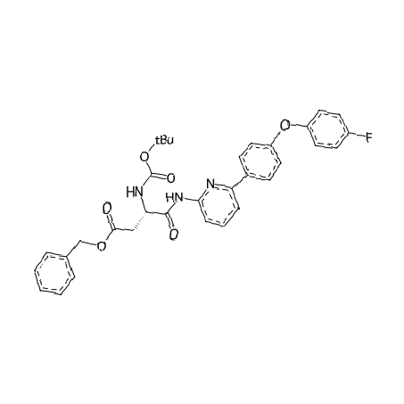 CC(C)(C)OC(=O)N[C@@H](CC(=O)OCc1ccccc1)C(=O)Nc1cccc(-c2ccc(Oc3ccc(F)cc3)cc2)n1